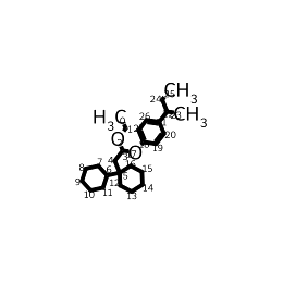 CCOC(CC1(C2CCCCC2)CCCCC1)Oc1ccc(C(C)CC)cc1